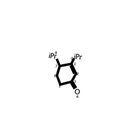 CC(C)C1=CC(=O)CCC1C(C)C